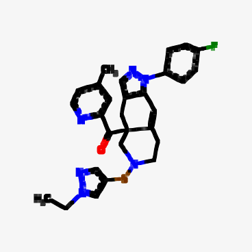 CCn1cc(SN2CCC3=Cc4c(cnn4-c4ccc(F)cc4)CC3(C(=O)c3cc(C)ccn3)C2)cn1